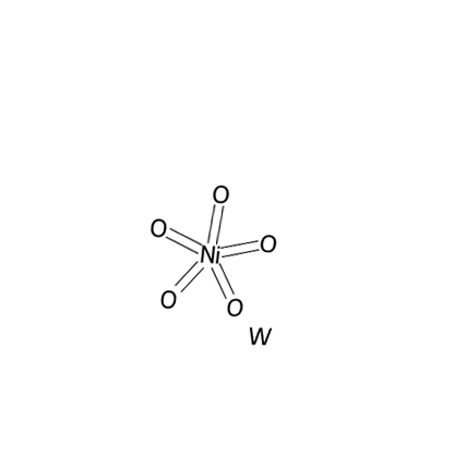 [O]=[Ni](=[O])(=[O])(=[O])=[O].[W]